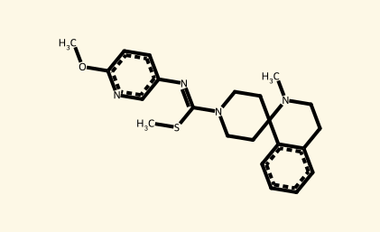 COc1ccc(/N=C(\SC)N2CCC3(CC2)c2ccccc2CCN3C)cn1